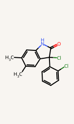 Cc1cc2c(cc1C)C(Cl)(c1ccccc1Cl)C(=O)N2